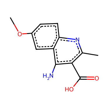 COc1ccc2nc(C)c(C(=O)O)c(N)c2c1